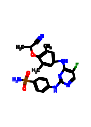 Cc1cc(Nc2nc(Nc3ccc(S(N)(=O)=O)cc3)ncc2F)cc(C)c1OC(C)C#N